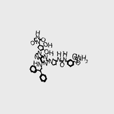 NS(=O)(=O)c1cccc(NC(=O)NC2CCN(c3nc(NCC(c4ccccc4)c4ccccc4)c4ncn([C@@H]5C[C@H](N6C(=O)CNC6=O)[C@@H](O)[C@H]5O)c4n3)C2)c1